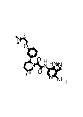 C[C@H]1CC[C@H](c2cccc(OC[C@@H](C)N(C)C)c2)N(C(=O)C(=O)Nc2cnc(N)c3cn[nH]c23)C1